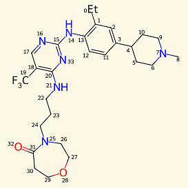 CCc1cc(C2CCN(C)CC2)ccc1Nc1ncc(C(F)(F)F)c(NCCCN2CCOCCC2=O)n1